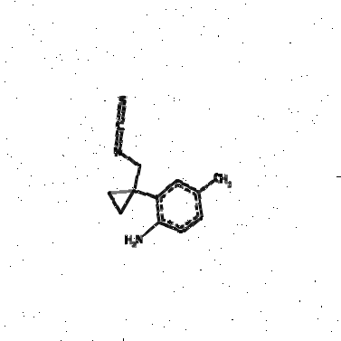 Cc1ccc(N)c(C2(CN=C=S)CC2)c1